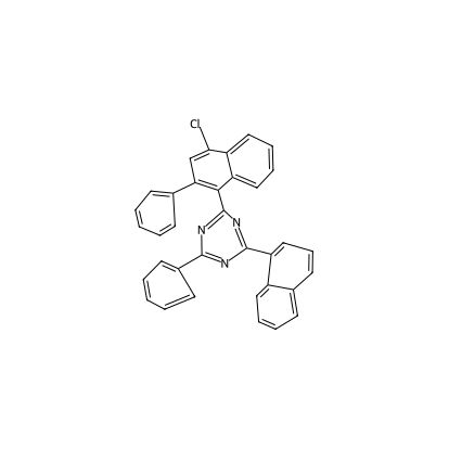 Clc1cc(-c2ccccc2)c(-c2nc(-c3ccccc3)nc(-c3cccc4ccccc34)n2)c2ccccc12